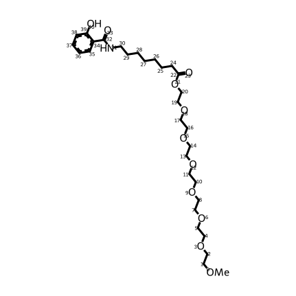 COCCOCCOCCOCCOCCOCCOCCOC(=O)CCCCCCCNC(=O)c1ccccc1O